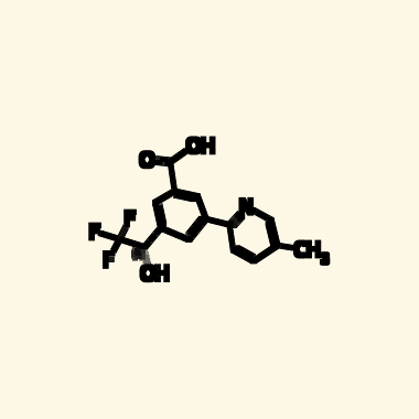 Cc1ccc(-c2cc(C(=O)O)cc([C@H](O)C(F)(F)F)c2)nc1